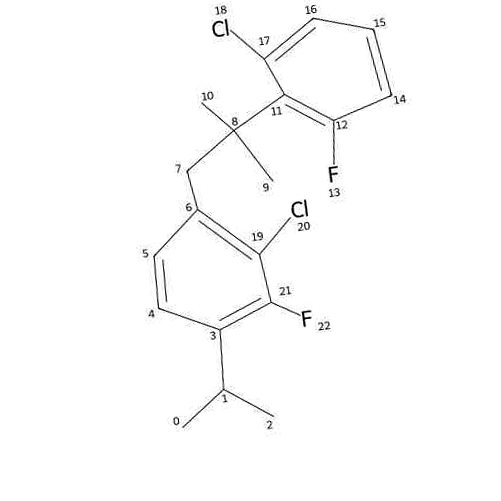 CC(C)c1ccc(CC(C)(C)c2c(F)cccc2Cl)c(Cl)c1F